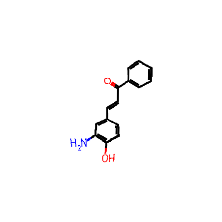 Nc1cc(C=CC(=O)c2ccccc2)ccc1O